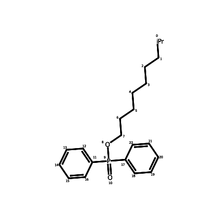 CC(C)CCCCCCCOP(=O)(c1ccccc1)c1ccccc1